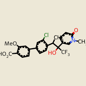 COc1cc(-c2ccc(C(C)C(O)(c3ccc(=O)n(C)c3)C(F)(F)F)c(Cl)c2)ccc1C(=O)O